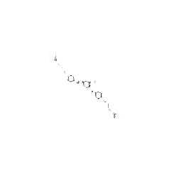 C=CC(=O)OCCCCOc1ccc(C(=O)Oc2ccc(OC(=O)c3ccc(OCCCCOC(=O)C=C)cc3)c(CCC)c2)cc1